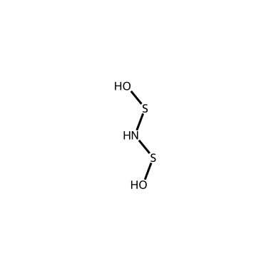 OSNSO